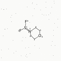 FS(F)=[N+]1CCOCC1